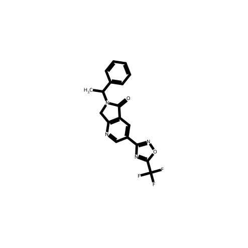 CC(c1ccccc1)N1Cc2ncc(-c3noc(C(F)(F)F)n3)cc2C1=O